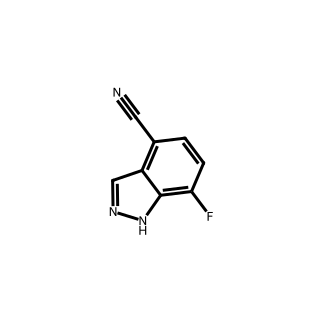 N#Cc1ccc(F)c2[nH]ncc12